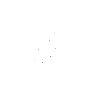 CCNC(=O)c1ncn2c1CNCC2